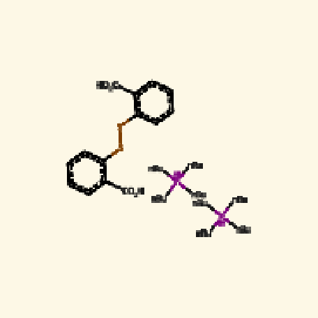 CCCC[PH](CCCC)(CCCC)CCCC.CCCC[PH](CCCC)(CCCC)CCCC.O=C(O)c1ccccc1SSc1ccccc1C(=O)O